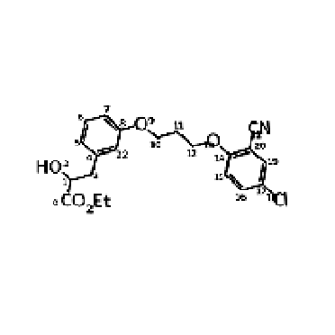 CCOC(=O)[C@@H](O)Cc1cccc(OCCCOc2ccc(Cl)cc2C#N)c1